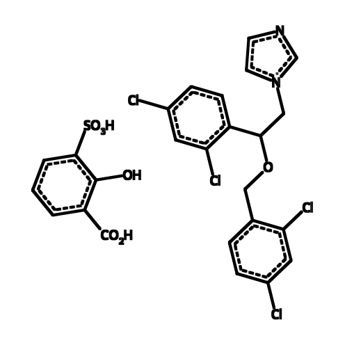 Clc1ccc(COC(Cn2ccnc2)c2ccc(Cl)cc2Cl)c(Cl)c1.O=C(O)c1cccc(S(=O)(=O)O)c1O